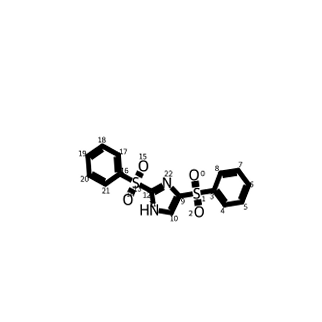 O=S(=O)(c1ccccc1)c1c[nH]c(S(=O)(=O)c2ccccc2)n1